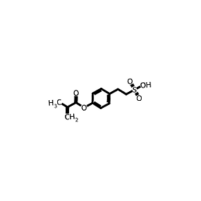 C=C(C)C(=O)Oc1ccc(CCS(=O)(=O)O)cc1